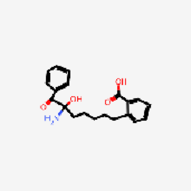 NC(O)(CCCCCc1ccccc1C(=O)O)C(=O)c1ccccc1